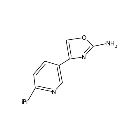 CC(C)c1ccc(-c2coc(N)n2)cn1